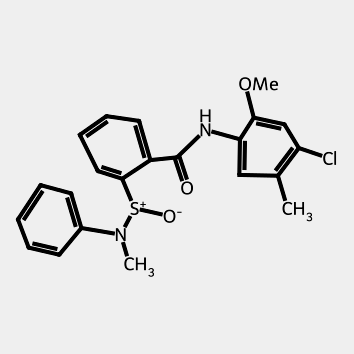 COc1cc(Cl)c(C)cc1NC(=O)c1ccccc1[S+]([O-])N(C)c1ccccc1